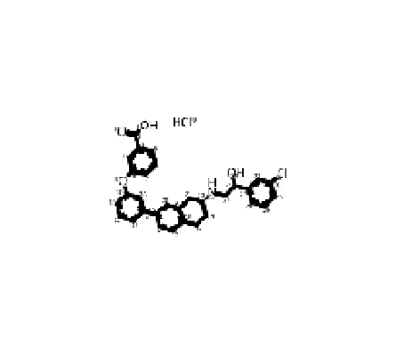 Cl.O=C(O)c1cccc(Oc2cccc(-c3ccc4c(c3)C[C@@H](NC[C@@H](O)c3cccc(Cl)c3)CC4)c2)c1